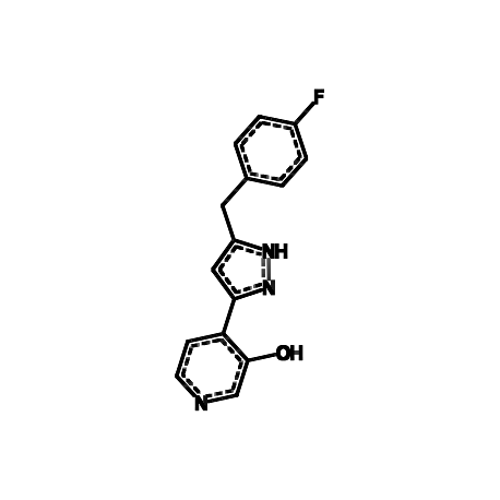 Oc1cnccc1-c1cc(Cc2ccc(F)cc2)[nH]n1